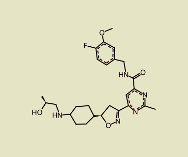 COc1cc(CNC(=O)c2cc(C3=NO[C@@H](C4CCC(NC[C@H](C)O)CC4)C3)nc(C)n2)ccc1F